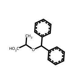 CC(OC(c1ccccc1)c1ccccc1)C(=O)O